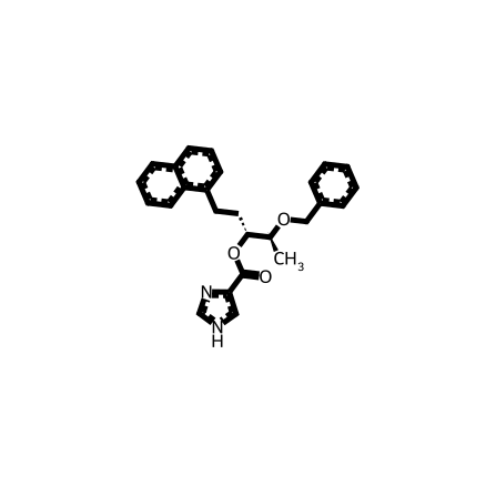 C[C@H](OCc1ccccc1)[C@@H](CCc1cccc2ccccc12)OC(=O)c1c[nH]cn1